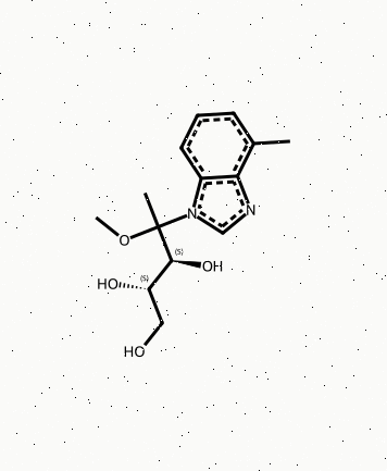 COC(C)([C@@H](O)[C@@H](O)CO)n1cnc2c(C)cccc21